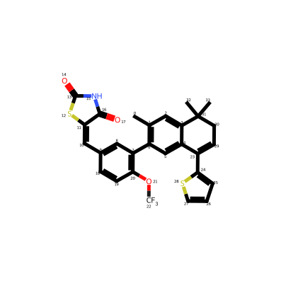 Cc1cc2c(cc1-c1cc(C=C3SC(=O)NC3=O)ccc1OC(F)(F)F)C(c1cccs1)=CCC2(C)C